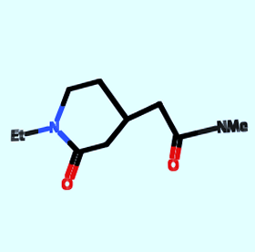 CCN1CCC(CC(=O)NC)CC1=O